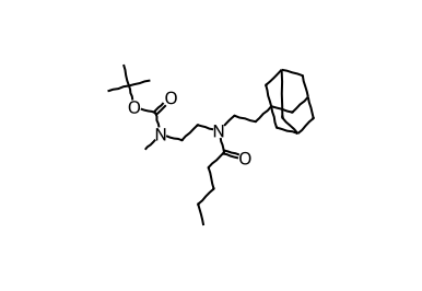 CCCCC(=O)N(CCN(C)C(=O)OC(C)(C)C)CCC12CC3CC(CC(C3)C1)C2